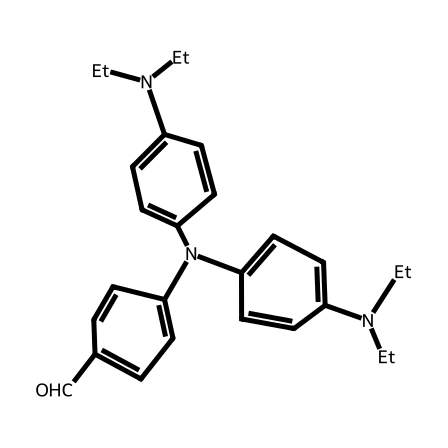 CCN(CC)c1ccc(N(c2ccc(C=O)cc2)c2ccc(N(CC)CC)cc2)cc1